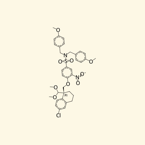 COc1ccc(CN(Cc2ccc(OC)cc2)S(=O)(=O)c2ccc(OC[C@@]3(C(OC)OC)CCCc4cc(Cl)ccc43)c([N+](=O)[O-])c2)cc1